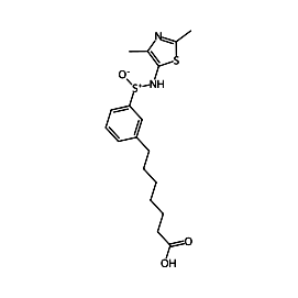 Cc1nc(C)c(N[S+]([O-])c2cccc(CCCCCCC(=O)O)c2)s1